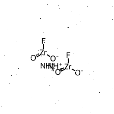 [NH4+].[NH4+].[O]=[Zr]([O-])[F].[O]=[Zr]([O-])[F]